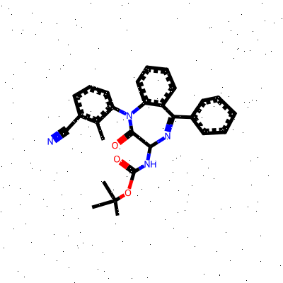 Cc1c(C#N)cccc1N1C(=O)C(NC(=O)OC(C)(C)C)N=C(c2ccccc2)c2ccccc21